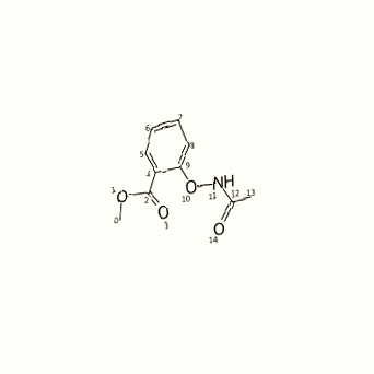 COC(=O)c1ccccc1ONC(C)=O